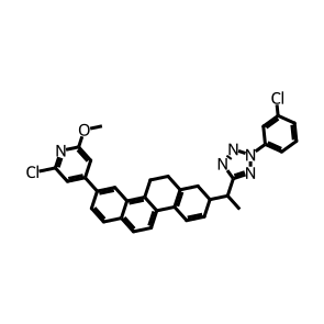 COc1cc(-c2ccc3ccc4c(c3c2)CCC2=C4C=CC(C(C)c3nnn(-c4cccc(Cl)c4)n3)C2)cc(Cl)n1